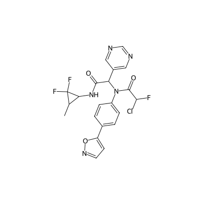 CC1C(NC(=O)C(c2cncnc2)N(C(=O)C(F)Cl)c2ccc(-c3ccno3)cc2)C1(F)F